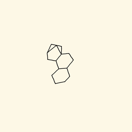 C1CCC2C(C1)CCC13CCC(CC21)C3